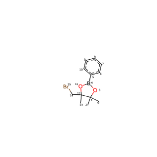 CC1(C)OB(c2ccccc2)OC1(C)CBr